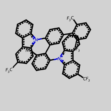 N#Cc1cccc(-n2c3ccccc3c3cc(C(F)(F)F)ccc32)c1-c1cc(-c2c(C(F)(F)F)cccc2C(F)(F)F)ccc1-n1c2ccccc2c2cc(C(F)(F)F)ccc21